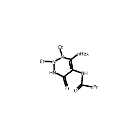 CCCCCCC1=C(NC(=O)CCC)C(=O)NN(CC)N1CC